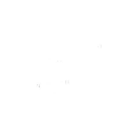 CC(C)(C)OC(O)(CC([NH])=O)Cc1cccc(Cl)c1